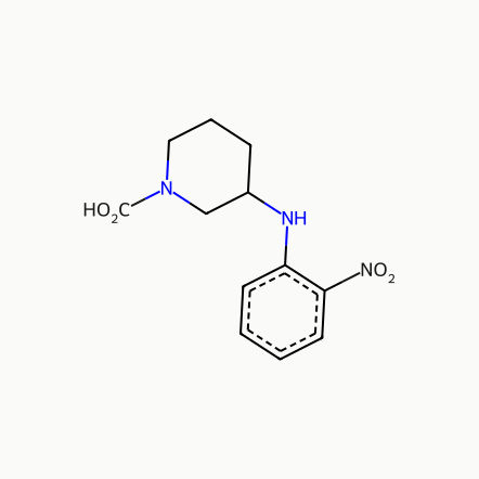 O=C(O)N1CCCC(Nc2ccccc2[N+](=O)[O-])C1